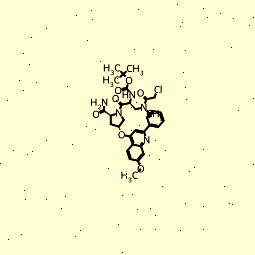 COc1ccc2c(O[C@@H]3C[C@@H](C(N)=O)N(C(=O)[C@H](CN(C)C(=O)CCl)NC(=O)OC(C)(C)C)C3)cc(-c3ccccc3)nc2c1